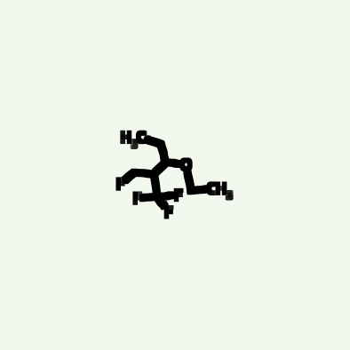 CCOC(CC)C(CF)C(F)(F)F